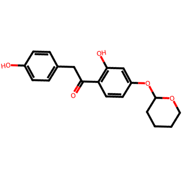 O=C(Cc1ccc(O)cc1)c1ccc(OC2CCCCO2)cc1O